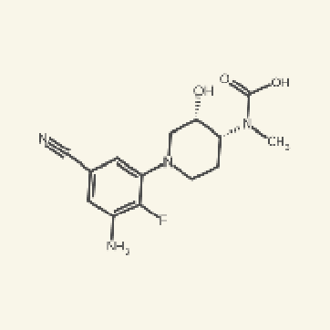 CN(C(=O)O)[C@@H]1CCN(c2cc(C#N)cc(N)c2F)C[C@@H]1O